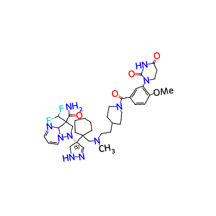 COc1ccc(C(=O)N2CCC(CCN(C)CC3([C@@]4(N5CC(C(N)=O)(C(F)F)C6N=CC=CN65)C=NNC4)CCCCC3)CC2)cc1N1CCC(=O)NC1=O